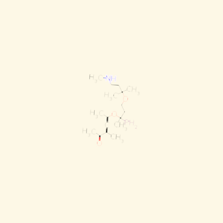 CNCCC(C)(C)OCCC(C)(P)OC(C)=C=C(C)C(C)=O